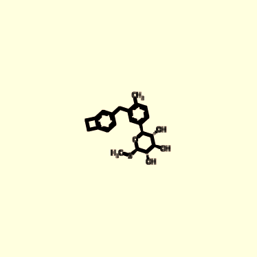 CS[C@H]1O[C@@H](c2ccc(C)c(Cc3ccc4c(c3)CC4)c2)[C@H](O)[C@@H](O)[C@@H]1O